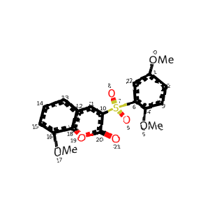 COc1ccc(OC)c(S(=O)(=O)c2cc3cccc(OC)c3oc2=O)c1